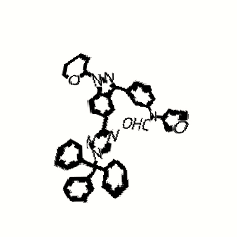 O=CN(c1ccoc1)c1cccc(-c2nn(C3CCCCO3)c3ccc(-c4ncn(C(c5ccccc5)(c5ccccc5)c5ccccc5)n4)cc23)c1